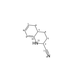 N#CC1CCC2CC=CC=C2N1